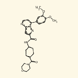 COc1ccc(-c2ccnc3cc(C(=O)NC4CCC(C(=O)N5CCOCC5)CC4)nn23)cc1OC